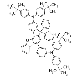 CC(C)(C)c1ccc(N(c2ccc(C(C)(C)C)cc2)c2cccc(-c3cc4c(c5oc6ccccc6c35)-c3ccc(N(c5ccc(C(C)(C)C)cc5)c5ccc(C(C)(C)C)cc5)cc3C4(c3ccccc3)c3ccccc3)c2)cc1